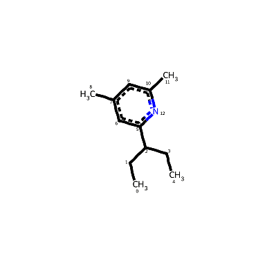 CCC(CC)c1cc(C)cc(C)n1